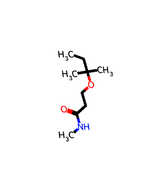 CCC(C)(C)OCCC(=O)NC